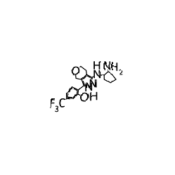 N[C@@H]1CCCC[C@H]1Nc1nnc(-c2ccc(C(F)(F)F)cc2O)c2c1CCOC2